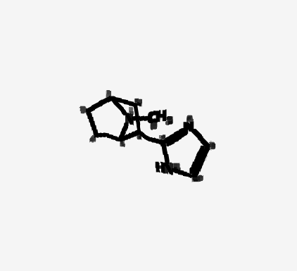 CN1C2CCC1C(c1ncc[nH]1)C2